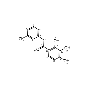 O=C(Cc1cccc(Cl)c1)c1ccc(O)c(O)c1O